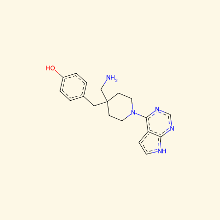 NCC1(Cc2ccc(O)cc2)CCN(c2ncnc3[nH]ccc23)CC1